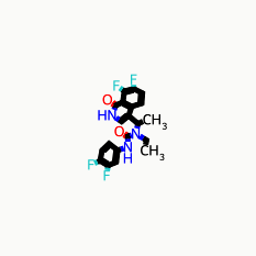 CCN(C(=O)Nc1ccc(F)c(F)c1)C(C)c1c[nH]c(=O)c2c(F)c(F)ccc12